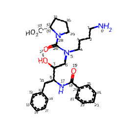 NCCCCN(CC(O)C(Cc1ccccc1)NC(=O)c1ccccc1)C(=O)N1CCC[C@H]1C(=O)O